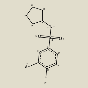 CC(=O)c1cc(S(=O)(=O)NC2CCCC2)ccc1F